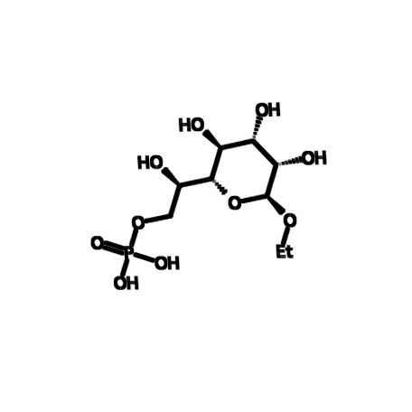 CCO[C@H]1O[C@H]([C@H](O)COP(=O)(O)O)[C@@H](O)[C@H](O)[C@@H]1O